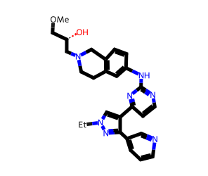 CCn1cc(-c2ccnc(Nc3ccc4c(c3)CCN(C[C@@H](O)COC)C4)n2)c(-c2cccnc2)n1